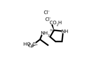 CC(N)C(=O)O.O=C(O)[C@@H]1CCCN1.[Ca+2].[Cl-].[Cl-]